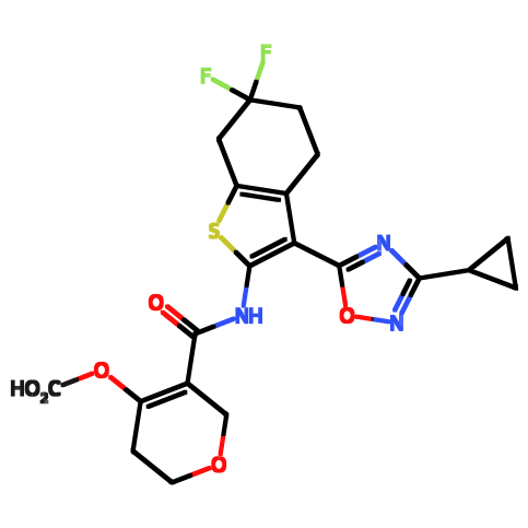 O=C(O)OC1=C(C(=O)Nc2sc3c(c2-c2nc(C4CC4)no2)CCC(F)(F)C3)COCC1